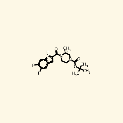 C[C@H]1CN(C(=O)OC(C)(C)C)CCN1C(=O)c1cc2cc(F)c(F)cc2[nH]1